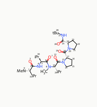 CN[C@H](C(=O)N[C@H](C(=O)N(C)[C@H](C(=O)N1CCC[C@H]1C(=O)N1CCC[C@H]1C(=O)NC(C)(C)C)C(C)C)C(C)C)C(C)C